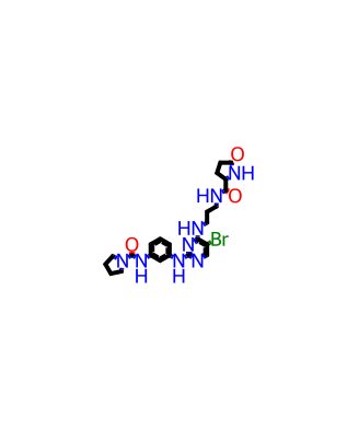 O=C1CCC(C(=O)NCCCNc2nc(Nc3cccc(NC(=O)N4CCCC4)c3)ncc2Br)N1